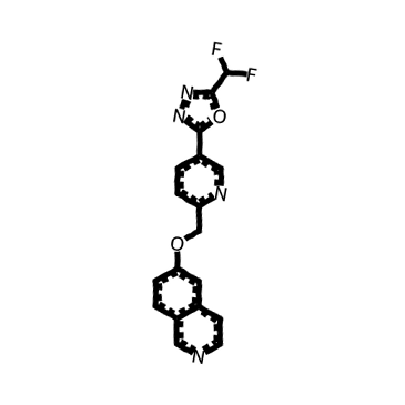 FC(F)c1nnc(-c2ccc(COc3ccc4cnccc4c3)nc2)o1